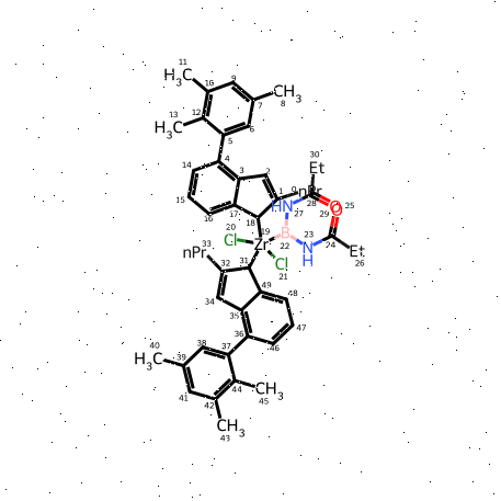 CCCC1=Cc2c(-c3cc(C)cc(C)c3C)cccc2[CH]1[Zr]([Cl])([Cl])([B](NC(=O)CC)NC(=O)CC)[CH]1C(CCC)=Cc2c(-c3cc(C)cc(C)c3C)cccc21